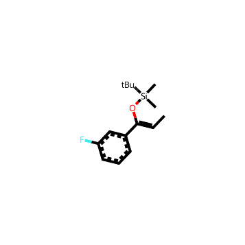 C/C=C(\O[Si](C)(C)C(C)(C)C)c1cccc(F)c1